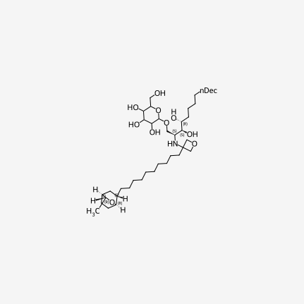 CCCCCCCCCCCCCC[C@@H](O)[C@@H](O)[C@H](COC1OC(CO)C(O)C(O)C1O)NC1(CCCCCCCCCC[C@H]2C[C@@H]3CC[C@H]2O[C@@H]3C)COC1